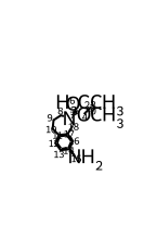 CC(C)(C)OC(=O)N1CCCc2ccc(N)cc2C1